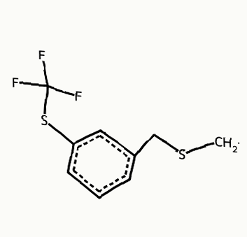 [CH2]SCc1cccc(SC(F)(F)F)c1